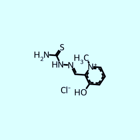 C[n+]1cccc(O)c1C=NNC(N)=S.[Cl-]